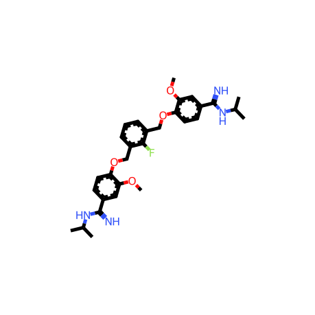 COc1cc(C(=N)NC(C)C)ccc1OCc1cccc(COc2ccc(C(=N)NC(C)C)cc2OC)c1F